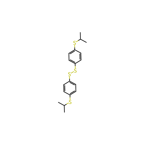 CC(C)Sc1ccc(SSc2ccc(SC(C)C)cc2)cc1